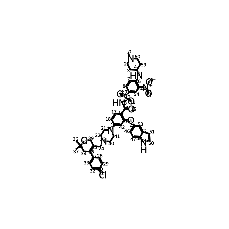 CN1CCC(Nc2ccc(S(=O)(=O)NC(=O)c3ccc(N4CCN(CC5=C(c6ccc(Cl)cc6)CC(C)(C)OC5)CC4)cc3Oc3ccc4[nH]ccc4c3)cc2[N+](=O)[O-])CC1